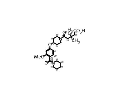 COc1cc(OC2CCN(C(=O)CC(C)(C)CC(=O)O)CC2)ccc1C(=O)N1CC[CH]CC1